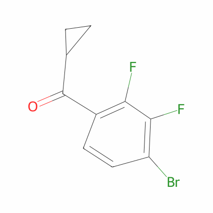 O=C(c1ccc(Br)c(F)c1F)C1CC1